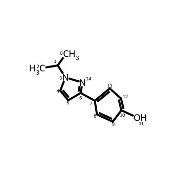 CC(C)n1ccc(-c2ccc(O)cc2)n1